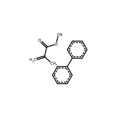 C=C(C)C(=O)OC#N.c1ccc(-c2ccccc2)cc1